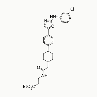 CCOC(=O)CCNC(=O)CC1CCC(c2ccc(-c3cnc(Nc4cccc(Cl)c4)o3)cc2)CC1